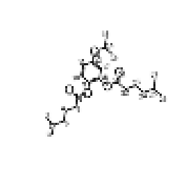 CC(C)CCCC(=O)Oc1ccc(OC(C)C)cc1OC(=O)CCCC(C)C